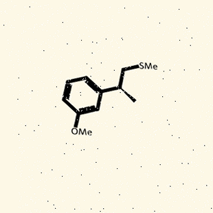 COc1cccc([C@H](C)CSC)c1